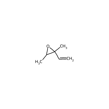 C=CC1(C)OC1C